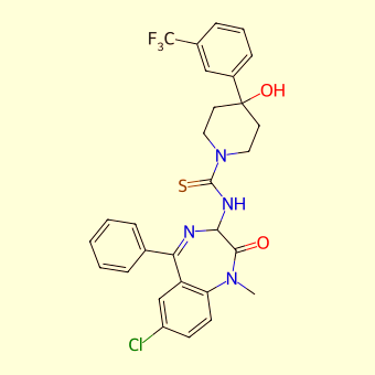 CN1C(=O)C(NC(=S)N2CCC(O)(c3cccc(C(F)(F)F)c3)CC2)N=C(c2ccccc2)c2cc(Cl)ccc21